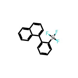 F[Si](F)(F)c1ccccc1-c1cccc2ccccc12